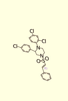 O=S(=O)(/C=C/c1ccccc1)N1CCN(c2ccc(Cl)cc2Cl)C(c2ccc(Cl)cc2)C1